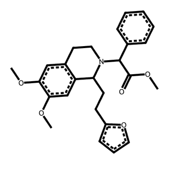 COC(=O)C(c1ccccc1)N1CCc2cc(OC)c(OC)cc2C1CCc1ccco1